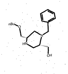 CCCCOC[C@@H]1CN(Cc2ccccc2)[C@H](CO)CN1